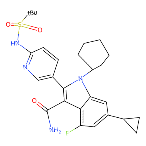 CC(C)(C)S(=O)(=O)Nc1ccc(-c2c(C(N)=O)c3c(F)cc(C4CC4)cc3n2C2CCCCC2)cn1